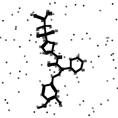 COc1ccc(CCN(C(=O)Nc2ncc(S(=O)(=O)C(C)(C)C(=O)O)s2)C2CCCCC2)cc1F